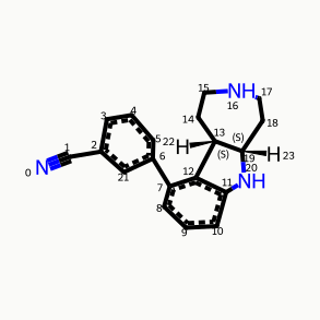 N#Cc1cccc(-c2cccc3c2[C@@H]2CCNCC[C@@H]2N3)c1